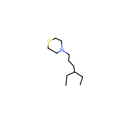 CCC(CC)CCCN1CCSCC1